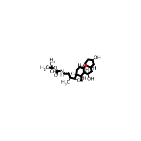 C[C@H](CCNC(=O)OC(C)(C)C)[C@H]1CC[C@H]2[C@@H]3[C@H](O)C[C@@H]4C[C@H](O)CC[C@]4(C)[C@H]3CC[C@]12C